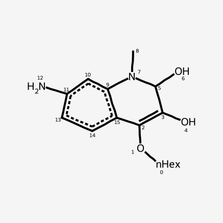 CCCCCCOC1=C(O)C(O)N(C)c2cc(N)ccc21